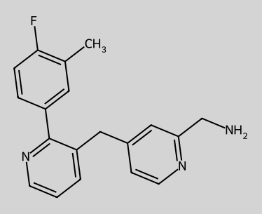 Cc1cc(-c2ncccc2Cc2ccnc(CN)c2)ccc1F